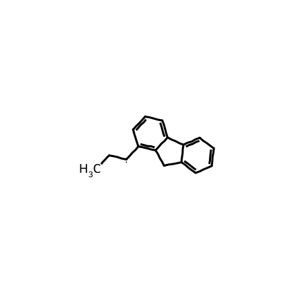 CC[CH]c1cccc2c1Cc1ccccc1-2